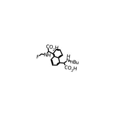 CCCCNC(C(=O)O)c1cccc2c(C(NCF)C(=O)O)cccc12